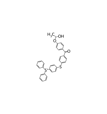 CC(O)Oc1ccc(C(=O)c2ccc(Sc3ccc([S+](c4ccccc4)c4ccccc4)cc3)cc2)cc1